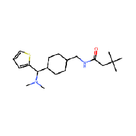 CN(C)C(c1cccs1)C1CCC(CNC(=O)CC(C)(C)C)CC1